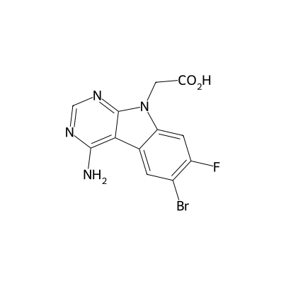 Nc1ncnc2c1c1cc(Br)c(F)cc1n2CC(=O)O